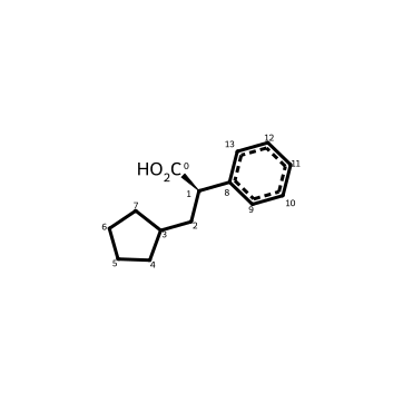 O=C(O)[C@H](CC1CCCC1)c1ccccc1